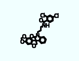 O=C(NCCCN1C(=O)C2(COc3cc4c(cc32)OCO4)c2ccccc21)c1ccc(Cl)cc1Cl